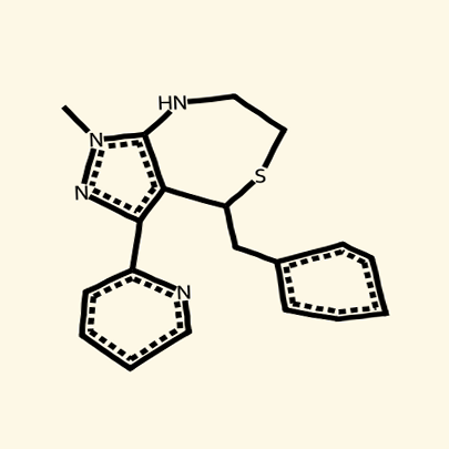 Cn1nc(-c2ccccn2)c2c1NCCSC2Cc1ccccc1